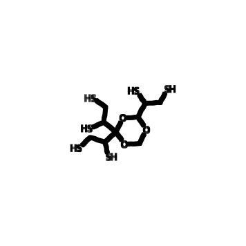 SCC(S)C1OCOC(C(S)CS)(C(S)CS)O1